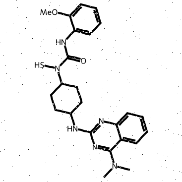 COc1ccccc1NC(=O)N(S)C1CCC(Nc2nc(N(C)C)c3ccccc3n2)CC1